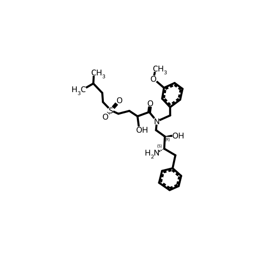 COc1cccc(CN(C[C@@H](O)[C@@H](N)Cc2ccccc2)C(=O)C(O)CCS(=O)(=O)CCC(C)C)c1